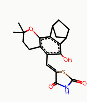 CC1(C)CCc2c(C=C3SC(=O)NC3=O)c(O)c3c(c2O1)C1CCC3C1